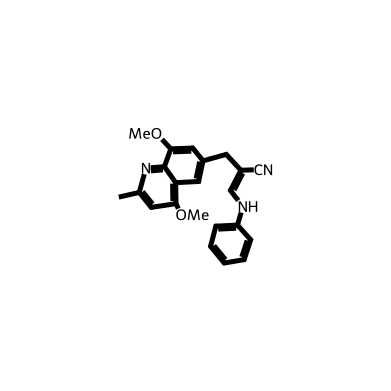 COc1cc(C)nc2c(OC)cc(CC(C#N)=CNc3ccccc3)cc12